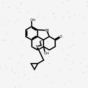 O=C1CCC2(O)C3Cc4ccc(O)c5c4[C@@]2(CCN3CC2CC2)[C@H]1O5